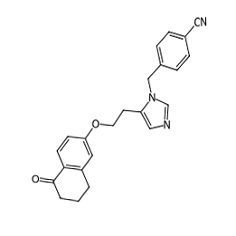 N#Cc1ccc(Cn2cncc2CCOc2ccc3c(c2)CCCC3=O)cc1